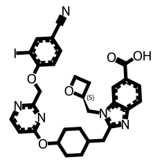 N#Cc1ccc(OCc2nccc(OC3CCC(Cc4nc5ccc(C(=O)O)cc5n4C[C@@H]4CCO4)CC3)n2)c(I)c1